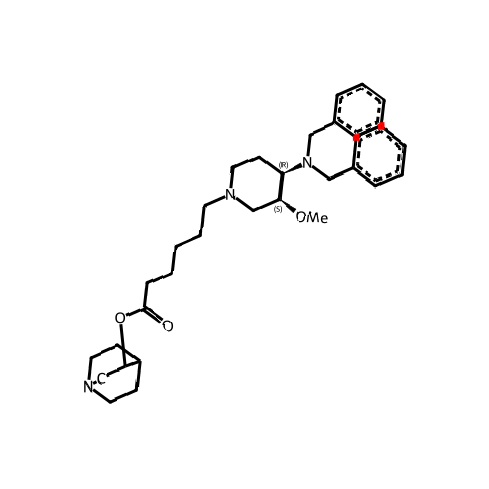 CO[C@H]1CN(CCCCCC(=O)OC2CN3CCC2CC3)CC[C@H]1N(Cc1ccccc1)Cc1ccccc1